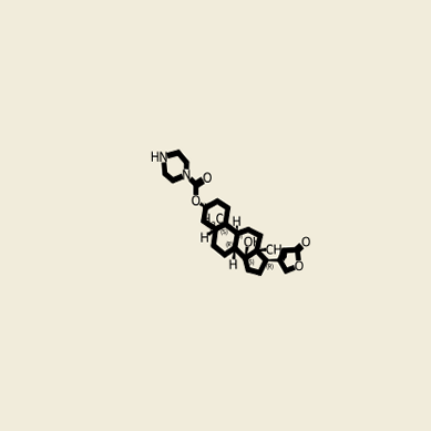 C[C@]12CC[C@H](OC(=O)N3CCNCC3)C[C@H]1CC[C@@H]1[C@@H]2CC[C@]2(C)[C@@H](C3=CC(=O)OC3)CC[C@]12O